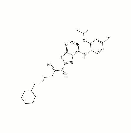 CC(C)Oc1cc(F)ccc1Nc1ncnc2sc(C(=O)C(=N)CCCCC3CCCCC3)nc12